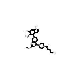 COc1nc2c(c(N3CCN(C(=O)/C=C/CO)CC3)n1)CCN(c1c(C)c(C)cc3[nH]ccc13)C2